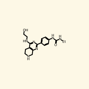 CCNC(=O)Nc1ccc(-c2nc3c(c(NCCO)n2)CCNC3)cc1